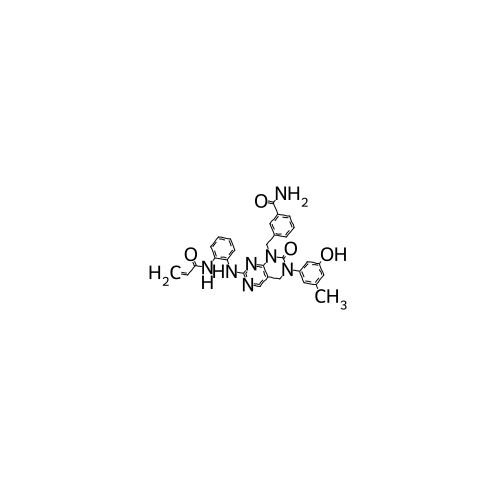 C=CC(=O)Nc1ccccc1Nc1ncc2c(n1)N(Cc1cccc(C(N)=O)c1)C(=O)N(c1cc(C)cc(O)c1)C2